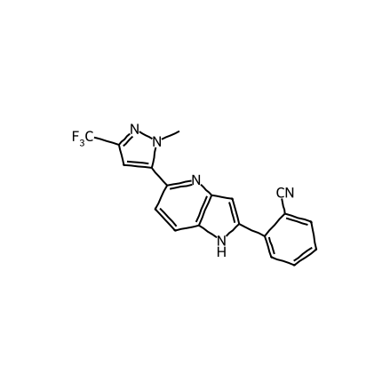 Cn1nc(C(F)(F)F)cc1-c1ccc2[nH]c(-c3ccccc3C#N)cc2n1